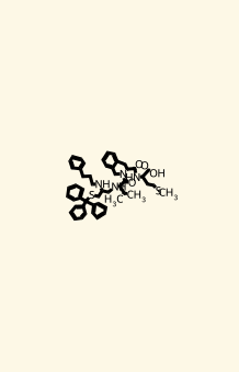 CSCCC(NC(=O)C1Cc2ccccc2CN1C(=O)[C@@H](NCC(CSC(c1ccccc1)(c1ccccc1)c1ccccc1)NCCCc1ccccc1)C(C)C)C(=O)O